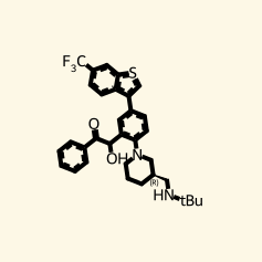 CC(C)(C)NC[C@H]1CCCN(c2ccc(-c3csc4cc(C(F)(F)F)ccc34)cc2C(O)C(=O)c2ccccc2)C1